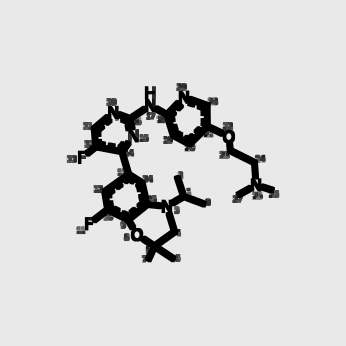 CC(C)N1CC(C)(C)Oc2c(F)cc(-c3nc(Nc4ccc(OCCN(C)C)cn4)ncc3F)cc21